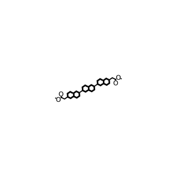 COC(=O)Cc1ccc2cc(-c3ccc4cc(-c5ccc6cc(CC(=O)OC)ccc6c5)ccc4c3)ccc2c1